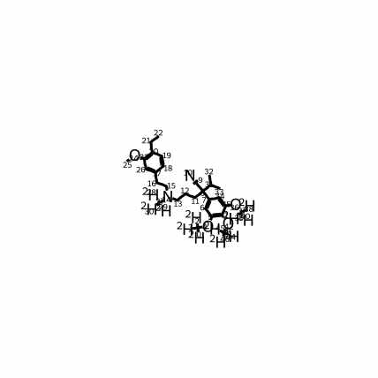 [2H]C([2H])([2H])Oc1cc(C(C#N)(CCCN(CCc2ccc(CC)c(OC)c2)C([2H])([2H])[2H])C(C)C)cc(OC([2H])([2H])[2H])c1OC([2H])([2H])[2H]